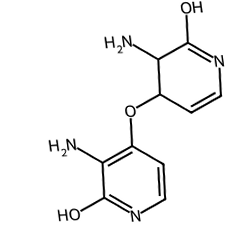 Nc1c(OC2C=CN=C(O)C2N)ccnc1O